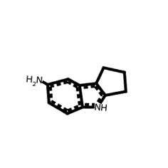 Nc1ccc2[nH]c3c(c2c1)CCC3